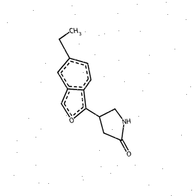 CCc1ccc2c(C3CNC(=O)C3)occ2c1